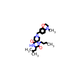 CCCCN1C(=O)C(CC(C)C)NC(=O)C12CCN(Cc1ccc3c(c1)OCCN3C)CC2